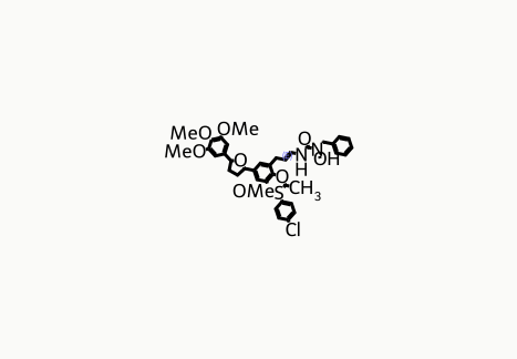 COc1cc(C2CCC(c3cc(OC)c(OC)c(OC)c3)O2)cc(C/C=C/NC(=O)N(O)Cc2ccccc2)c1OC(C)Sc1ccc(Cl)cc1